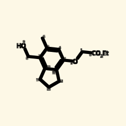 CCOC(=O)COc1cc(C)c(CO)c2c1CCC2